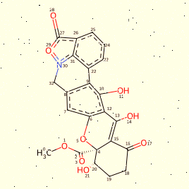 COC(=O)[C@]12Oc3cc4c(c(O)c3C(O)=C1C(=O)CC[C@@H]2O)-c1cccc2c(=O)on(c12)C4